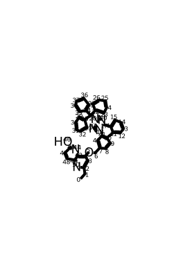 CCc1cc(OCc2ccc(-c3ccccc3-c3nnn(C(c4ccccc4)(c4ccccc4)c4ccccc4)n3)cc2)c2nc(O)ccc2n1